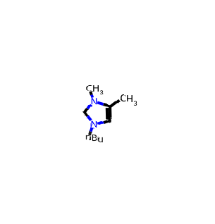 CCCCN1C=C(C)N(C)C1